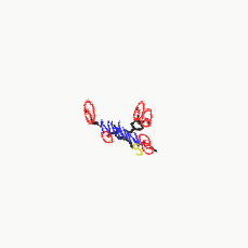 CCOC(=O)c1nc(-c2cc(C(=O)NCCCOC)c(C)n2CCc2ccc(OC)c(OC)c2)cs1